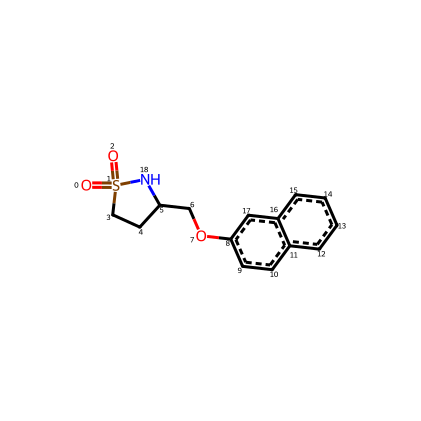 O=S1(=O)CCC(COc2ccc3ccccc3c2)N1